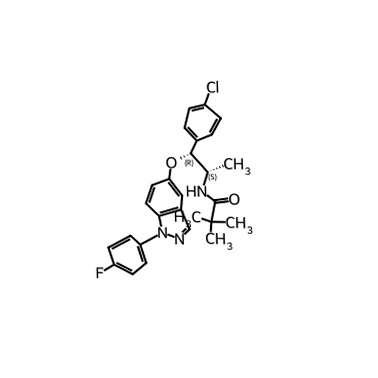 C[C@H](NC(=O)C(C)(C)C)[C@H](Oc1ccc2c(cnn2-c2ccc(F)cc2)c1)c1ccc(Cl)cc1